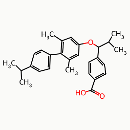 Cc1cc(OC(c2ccc(C(=O)O)cc2)C(C)C)cc(C)c1-c1ccc(C(C)C)cc1